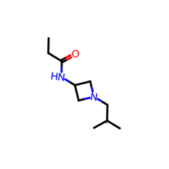 CCC(=O)NC1CN(C[C](C)C)C1